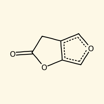 O=C1Cc2cocc2O1